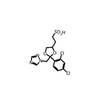 O=S(=O)(O)CCC1COC(Cn2cncn2)(c2ccc(Cl)cc2Cl)O1